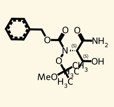 COC(C)(C)ON(C(=O)OCc1ccccc1)[C@H](C(N)=O)[C@H](C)O